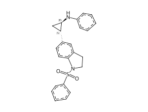 O=S(=O)(c1ccccc1)N1CCc2cc([C@@H]3C[C@H]3Nc3ccccc3)ccc21